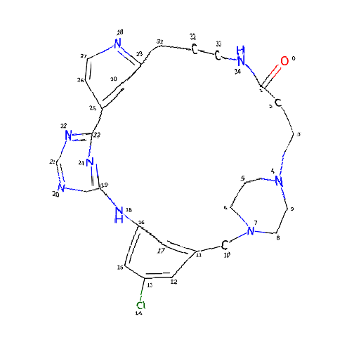 O=C1CCN2CCN(CC2)Cc2cc(Cl)cc(c2)Nc2ncnc(n2)-c2ccnc(c2)CCCN1